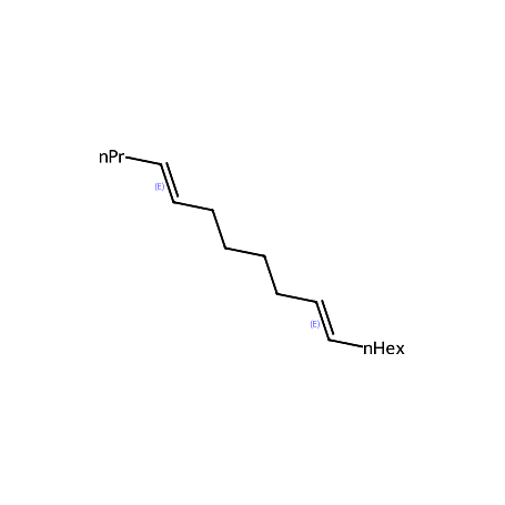 [CH2]CCCCC/C=C/CCCC/C=C/CCC